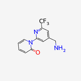 NCc1cc(-n2ccccc2=O)nc(C(F)(F)F)c1